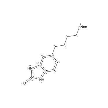 CCCCCCCCCCCCCc1ccc2[nH]c(=O)[nH]c2c1